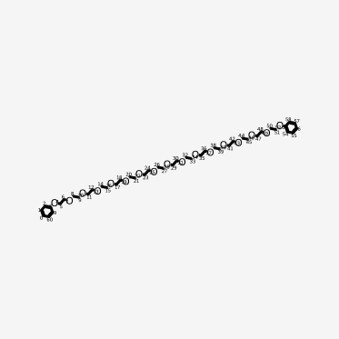 c1ccc(OCCOCCOCCOCCOCCOCCOCCOCCOCCOCCOCCOCCOCCOCCOCCOCCOc2ccccc2)cc1